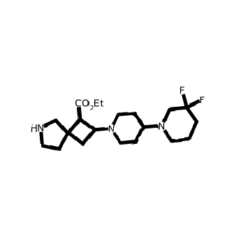 CCOC(=O)C1C(N2CCC(N3CCCC(F)(F)C3)CC2)CC12CCNC2